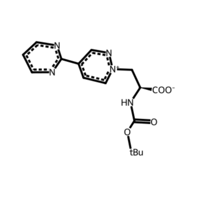 CC(C)(C)OC(=O)N[C@@H](C[n+]1ccc(-c2ncccn2)cn1)C(=O)[O-]